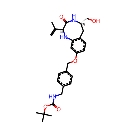 C=C(C)[C@@H]1Nc2cc(OCc3ccc(CNC(=O)OC(C)(C)C)cc3)ccc2C[C@@H](CO)NC1=O